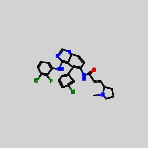 CN1CCCC1C=CC(=O)Nc1ccc2ncnc(Nc3cccc(Cl)c3F)c2c1-c1cccc(Cl)c1